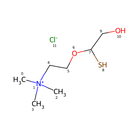 C[N+](C)(C)CCOC(S)CO.[Cl-]